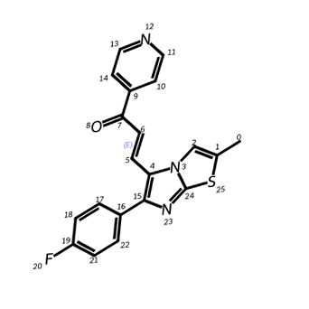 Cc1cn2c(/C=C/C(=O)c3ccncc3)c(-c3ccc(F)cc3)nc2s1